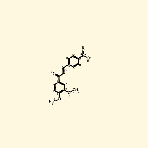 COc1ccc(C(=O)/C=C/c2ccc([N+](=O)[O-])cc2)cc1OC